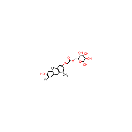 Cc1cc(OCC(=O)OC[C@H]2O[C@@H](O)[C@H](O)[C@@H](O)[C@@H]2O)cc(C)c1Cc1ccc(O)c(C(C)C)c1